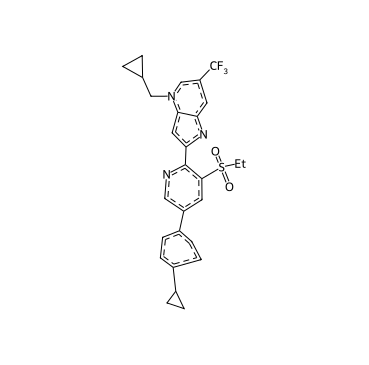 CCS(=O)(=O)c1cc(-c2ccc(C3CC3)cc2)cnc1-c1cc2n(CC3CC3)cc(C(F)(F)F)cc-2n1